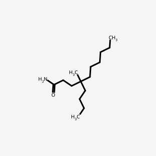 CCCCCCC(C)(CCCC)CCC(N)=O